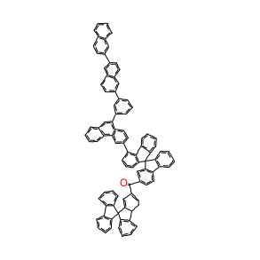 O=C(C1=CCC2C(=C1)C1(c3ccccc3-c3ccccc31)c1ccccc12)c1ccc2c(c1)C1(c3ccccc3-2)c2ccccc2-c2c(-c3ccc4c(-c5cccc(-c6ccc7cc(-c8ccc9ccccc9c8)ccc7c6)c5)cc5ccccc5c4c3)cccc21